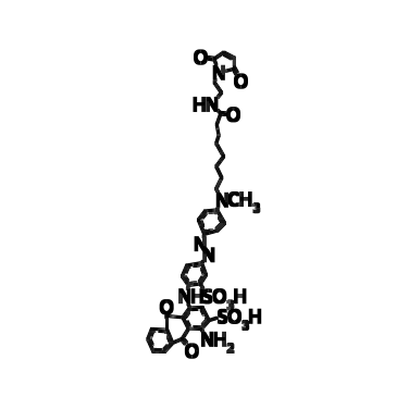 CN(CCCCCCCC(=O)NCCN1C(=O)C=CC1=O)c1ccc(/N=N/c2ccc(Nc3cc(S(=O)(=O)O)c(N)c4c3C(=O)c3ccccc3C4=O)c(S(=O)(=O)O)c2)cc1